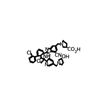 CC1C(c2ccccc2Cl)=CC=CC1(NC1(c2ccc(CN3CC[C@@H](O)C3)cn2)COC1)c1nc2cc(CN3CC[C@@H](C(=O)O)C3)cc(C#N)c2s1